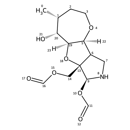 C[C@@H]1CCO[C@H]2C3CN[C@@H](OC=O)[C@]3(COC=O)O[C@H]2[C@@H]1O